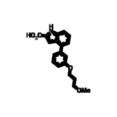 COCCCOc1cccc(-c2cccc3[nH]c(C(=O)O)cc23)c1